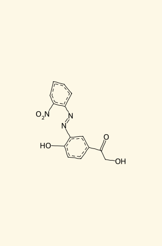 O=C(CO)c1ccc(O)c(N=Nc2ccccc2[N+](=O)[O-])c1